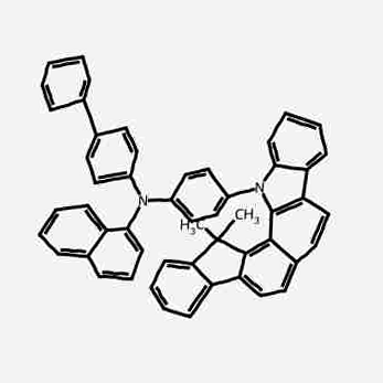 CC1(C)c2ccccc2-c2ccc3ccc4c5ccccc5n(-c5ccc(N(c6ccc(-c7ccccc7)cc6)c6cccc7ccccc67)cc5)c4c3c21